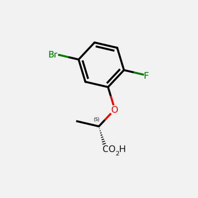 C[C@H](Oc1cc(Br)ccc1F)C(=O)O